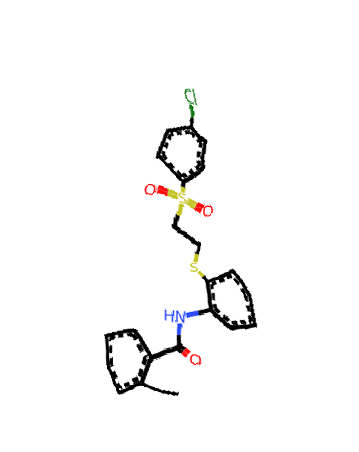 Cc1ccccc1C(=O)Nc1ccccc1SCCS(=O)(=O)c1ccc(Cl)cc1